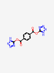 O=C(Oc1nnn[nH]1)c1ccc(C(=O)Oc2nnn[nH]2)cc1